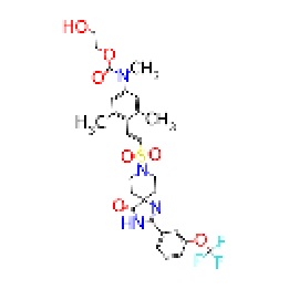 Cc1cc(N(C)C(=O)OCCO)cc(C)c1C=CS(=O)(=O)N1CCC2(CC1)N=C(c1cccc(OC(F)(F)F)c1)NC2=O